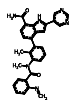 C=Nc1ccccc1C(=O)N(C)c1cccc(-c2ccc(C(N)=O)c3[nH]c(-c4cncnc4)cc23)c1C